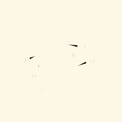 CC(C)[C@@H]1CC[C@@]2(C)[C@H]3[C@@H]1[C@@H]2CC1O[C@@]13C